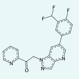 O=C(Cn1ncc2ncc(-c3ccc(F)c(C(F)F)c3)cc21)c1ccccn1